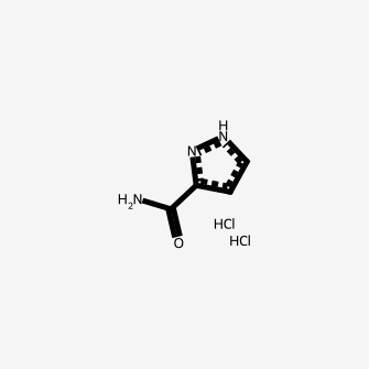 Cl.Cl.NC(=O)c1cc[nH]n1